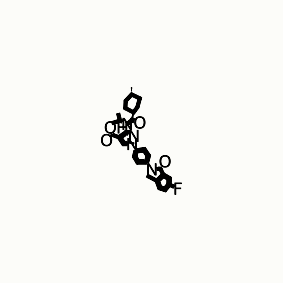 CC(C)N(c1nn(-c2ccc(N3Cc4ccc(F)cc4C3=O)cc2)cc1C(=O)O)C(=O)[C@H]1CC[C@H](C)CC1